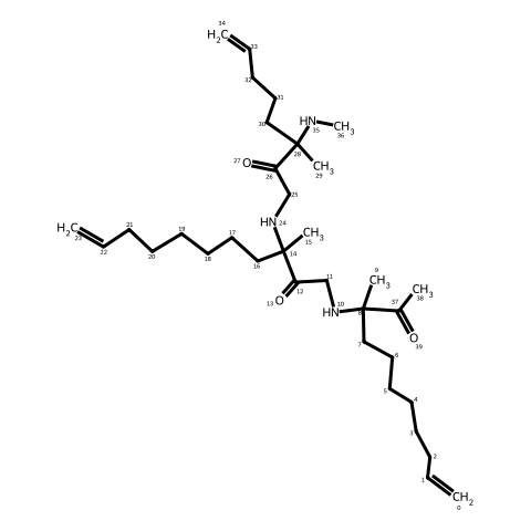 C=CCCCCCCC(C)(NCC(=O)C(C)(CCCCCCC=C)NCC(=O)C(C)(CCCC=C)NC)C(C)=O